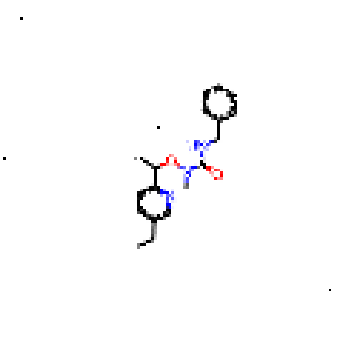 [CH2]C(ON(C)C(=O)NCc1ccccc1)c1ccc(CC)cn1